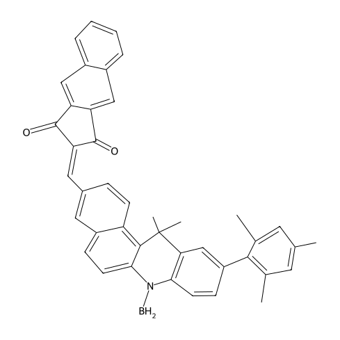 BN1c2ccc(-c3c(C)cc(C)cc3C)cc2C(C)(C)c2c1ccc1cc(C=C3C(=O)c4cc5ccccc5cc4C3=O)ccc21